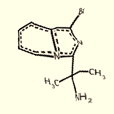 CC(C)(N)c1nc(Br)c2ccccn12